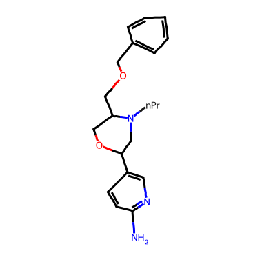 CCCN1CC(c2ccc(N)nc2)OCC1COCc1ccccc1